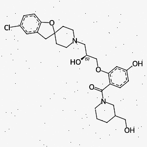 O=C(c1ccc(O)cc1OC[C@@H](O)CN1CCC2(CC1)Cc1cc(Cl)ccc1O2)N1CCCC(CO)C1